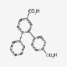 O=C(O)c1ccc(-c2cc(C(=O)O)ccc2-c2ccccc2)cc1